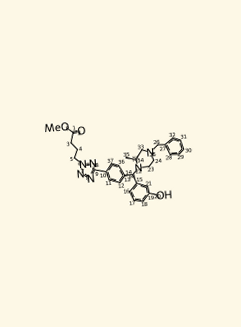 COC(=O)CCCn1nnc(-c2ccc([C@H](c3cccc(O)c3)N3CCN(Cc4ccccc4)C[C@@H]3C)cc2)n1